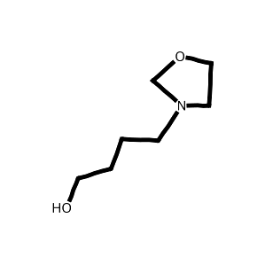 OCCCCN1CCOC1